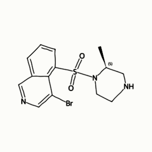 C[C@H]1CNCCN1S(=O)(=O)c1cccc2cncc(Br)c12